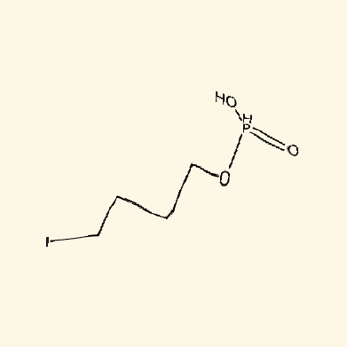 O=[PH](O)OCCCCI